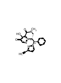 C#Cc1ccn([C@H](c2ccccc2)[C@H]2CN(C)C(=O)c3c(O)c(=O)cnn32)n1